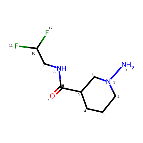 NN1CCCC(C(=O)NCC(F)F)C1